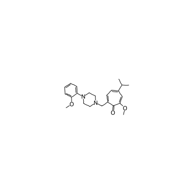 COc1ccccc1N1CCN(Cc2ccc(C(C)C)cc(OC)c2=O)CC1